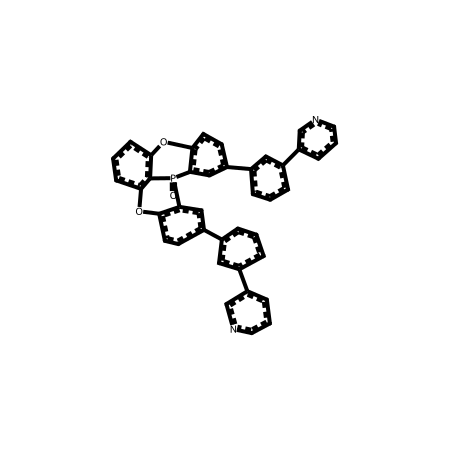 O=P12c3cc(-c4cccc(-c5cccnc5)c4)ccc3Oc3cccc(c31)Oc1ccc(-c3cccc(-c4cccnc4)c3)cc12